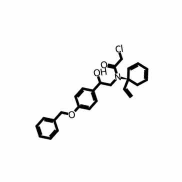 C=C[C@]1(N(CC(O)c2ccc(OCc3ccccc3)cc2)C(=O)CCl)C=CC=CC1